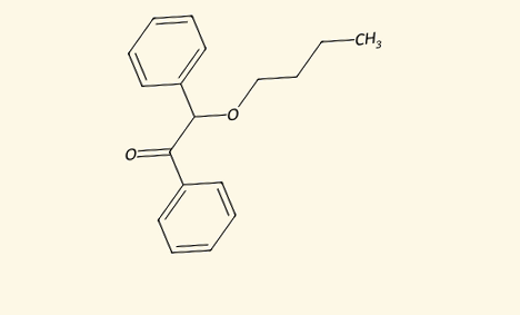 CCCCOC(C(=O)c1ccccc1)c1ccccc1